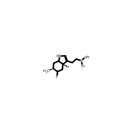 CCCN(CC)CCC1=CNC2C[C@H](C)C(F)C[C@@H]12